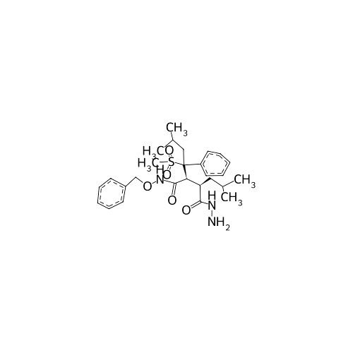 CC(C)C[C@@H](C(=O)NN)[C@@H](C(=O)NOCc1ccccc1)C(CC(C)C)(c1ccccc1)S(C)(=O)=O